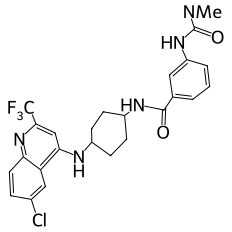 CNC(=O)Nc1cccc(C(=O)NC2CCC(Nc3cc(C(F)(F)F)nc4ccc(Cl)cc34)CC2)c1